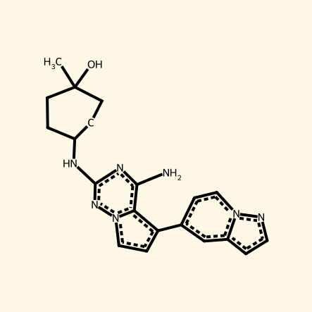 CC1(O)CCC(Nc2nc(N)c3c(-c4ccn5nccc5c4)ccn3n2)CC1